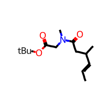 C/C=C/C(C)CC(=O)N(C)CC(=O)OC(C)(C)C